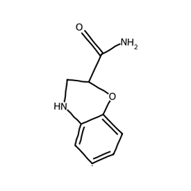 NC(=O)C1CNc2c[c]ccc2O1